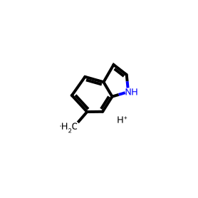 [CH2]c1ccc2cc[nH]c2c1.[H+]